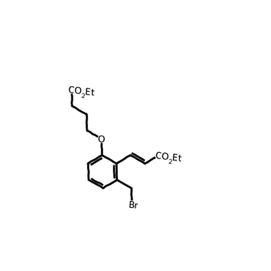 CCOC(=O)C=Cc1c(CBr)cccc1OCCCC(=O)OCC